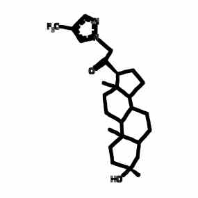 CC12CC[C@@](C)(O)CC1CCC1C2CCC2(C)C1CC[C@@H]2C(=O)Cn1cc(C(F)(F)F)cn1